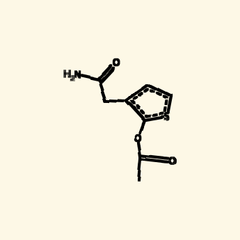 CC(=O)Oc1sccc1CC(N)=O